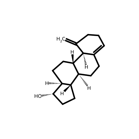 C=C1CCC=C2CC[C@H]3[C@@H]4CC[C@H](O)[C@H]4CC[C@@H]3[C@@H]12